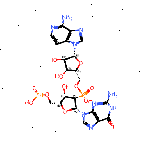 Nc1nc2c(ncn2[C@@H]2O[C@H](CO[PH](=O)O)[C@@H](O)[C@H]2P(=O)(O)OC[C@H]2O[C@@H](n3cnc4c(N)nccc43)[C@H](O)[C@@H]2O)c(=O)[nH]1